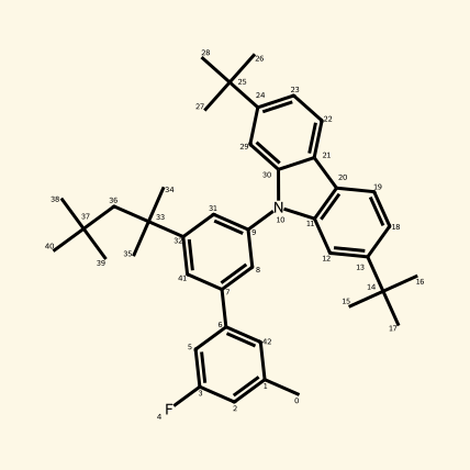 Cc1cc(F)cc(-c2cc(-n3c4cc(C(C)(C)C)ccc4c4ccc(C(C)(C)C)cc43)cc(C(C)(C)CC(C)(C)C)c2)c1